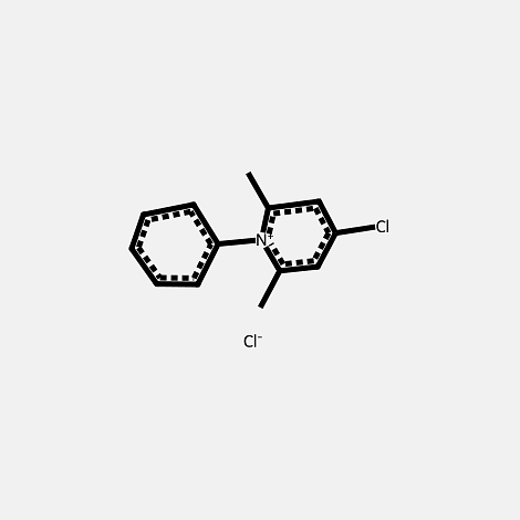 Cc1cc(Cl)cc(C)[n+]1-c1ccccc1.[Cl-]